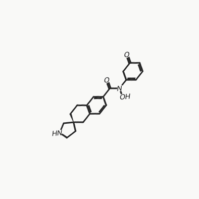 O=C1C=CC=C(N(O)C(=O)c2ccc3c(c2)CC[C@]2(CCNC2)C3)C1